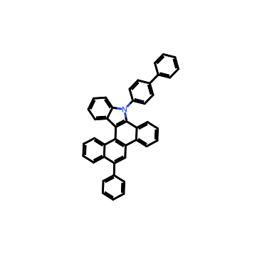 c1ccc(-c2ccc(-n3c4ccccc4c4c5c6ccccc6c(-c6ccccc6)cc5c5ccccc5c43)cc2)cc1